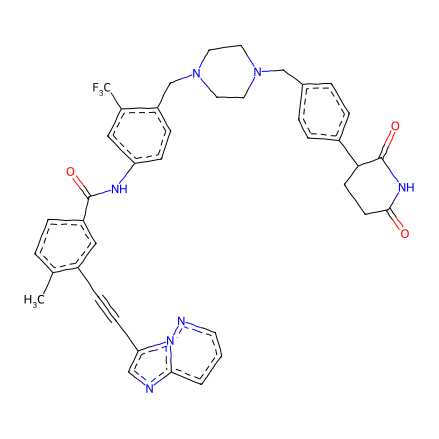 Cc1ccc(C(=O)Nc2ccc(CN3CCN(Cc4ccc(C5CCC(=O)NC5=O)cc4)CC3)c(C(F)(F)F)c2)cc1C#Cc1cnc2cccnn12